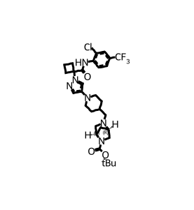 CC(C)(C)OC(=O)N1C[C@H]2C[C@@H]1CN2CC1CCN(c2cnn(C3(C(=O)Nc4ccc(C(F)(F)F)cc4Cl)CCC3)c2)CC1